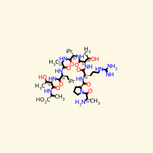 CC(C)C[C@H](NC(=O)[C@H](C)NC(=O)[C@@H](NC(=O)[C@@H](NC(=O)[C@H](CCCNC(=N)N)NC(=O)[C@@H]1CCCN1C(=O)[C@H](C)N)[C@@H](C)O)C(C)C)C(=O)N[C@H](C(=O)N[C@@H](C)C(=O)O)[C@@H](C)O